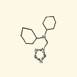 c1ncn(CN(C2CCCCC2)C2CCCCC2)n1